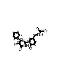 CC(C)C(=O)NCc1ccc(Cl)c(-c2nc(-c3ccccc3)c(F)c(=O)[nH]2)c1